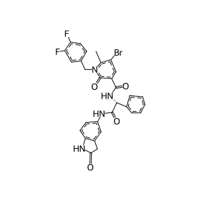 Cc1c(Br)cc(C(=O)N[C@@H](C(=O)Nc2ccc3c(c2)CC(=O)N3)c2ccccc2)c(=O)n1Cc1ccc(F)c(F)c1